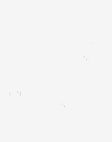 Cc1ccc(-c2c(N)c(C)nc(CC(C)C)c2CNC(=O)O)cc1